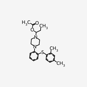 CCC(OC(C)=O)N1CCN(c2ccccc2Sc2ccc(C)cc2C)CC1